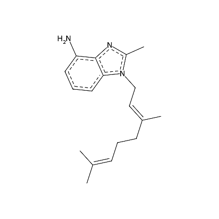 CC(C)=CCC/C(C)=C/Cn1c(C)nc2c(N)cccc21